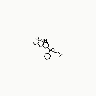 CCc1cc2cc([C@@H](OCCN(C)C)C3CCCCC3)ccc2[nH]c1=O